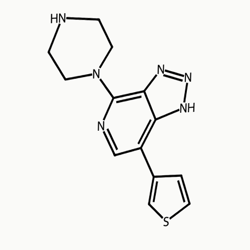 c1cc(-c2cnc(N3CCNCC3)c3nn[nH]c23)cs1